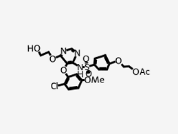 COc1ccc(Cl)c(Oc2c(NS(=O)(=O)c3ccc(OCCOC(C)=O)cc3)ncnc2OCCO)c1